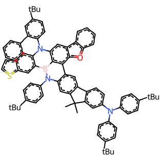 CC(C)(C)c1ccc(N2B3c4cc5sccc5cc4N(c4ccc(C(C)(C)C)cc4-c4ccccc4)c4cc5c(oc6ccccc65)c(c43)-c3cc4c(cc32)C(C)(C)c2cc(N(c3ccc(C(C)(C)C)cc3)c3ccc(C(C)(C)C)cc3)ccc2-4)cc1